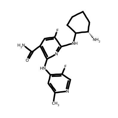 Cc1cc(Nc2nc(NC3CCCC[C@@H]3N)c(F)cc2C(N)=O)c(F)cn1